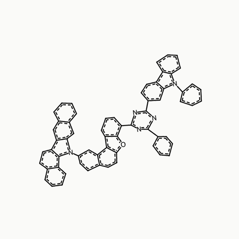 c1ccc(-c2nc(-c3ccc4c5ccccc5n(-c5ccccc5)c4c3)nc(-c3cccc4c3oc3ccc5ccc(-n6c7cc8ccccc8cc7c7ccc8ccccc8c76)cc5c34)n2)cc1